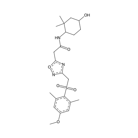 COc1cc(C)c(S(=O)(=O)Cc2noc(CC(=O)NC3CCC(O)CC3(C)C)n2)c(C)c1